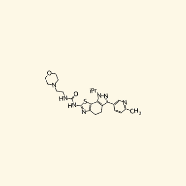 Cc1ccc(-c2nn(C(C)C)c3c2CCc2nc(NC(=O)NCCN4CCOCC4)sc2-3)cn1